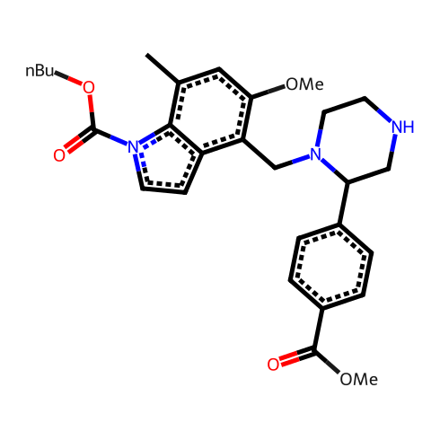 CCCCOC(=O)n1ccc2c(CN3CCNCC3c3ccc(C(=O)OC)cc3)c(OC)cc(C)c21